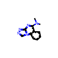 CN(C)c1nc2nncn2c2ccccc12